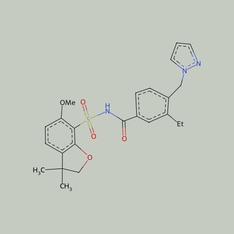 CCc1cc(C(=O)NS(=O)(=O)c2c(OC)ccc3c2OCC3(C)C)ccc1Cn1cccn1